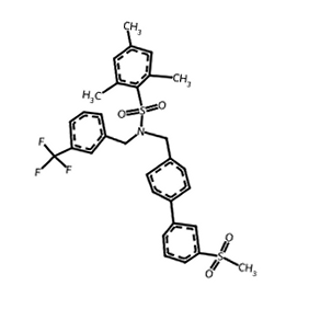 Cc1cc(C)c(S(=O)(=O)N(Cc2ccc(-c3cccc(S(C)(=O)=O)c3)cc2)Cc2cccc(C(F)(F)F)c2)c(C)c1